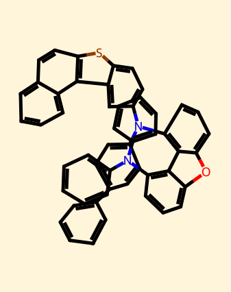 c1ccc(-c2ccc(N(c3ccc4sc5ccc6ccccc6c5c4c3)c3cccc4oc5cccc(N(c6ccccc6)c6ccccc6)c5c34)cc2)cc1